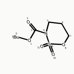 CC(C)(C)OC(=O)N1CCCOS1(=O)=O